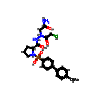 COc1ccc(-c2ccc(S(=O)(=O)N3CCC[C@H]3C(=O)NN(CC(N)=O)C(=O)CCl)cc2)cc1